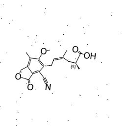 COc1c(C)c2c(c(C#N)c1CC=C(C)C[C@H](C)C(=O)O)C(=O)OC2